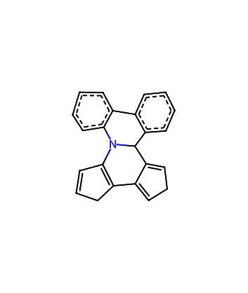 C1=CC2=C(C1)C1=CCC=C1C1c3ccccc3-c3ccccc3N21